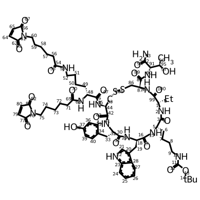 CC[C@@H]1NC(=O)[C@H](CCCCNC(=O)OC(C)(C)C)NC(=O)[C@@H](Cc2c[nH]c3ccccc23)NC(=O)[C@H](Cc2ccc(O)cc2)NC(=O)[C@@H](NC(=O)[C@@H](CCCCNC(=O)CCCCCN2C(=O)C=CC2=O)NC(=O)CCCCCN2C(=O)C=CC2=O)CSSC[C@@H](C(=O)N[C@H](C(N)=O)[C@@H](C)O)NC1=O